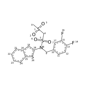 CS(=O)(=O)CS(=O)(=O)N(Cc1ccc(F)c(F)c1)c1cc2ccccc2s1